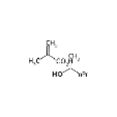 C=C(C)C(=O)O.CCCC(C)O